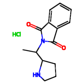 CC(C1CCCN1)N1C(=O)c2ccccc2C1=O.Cl